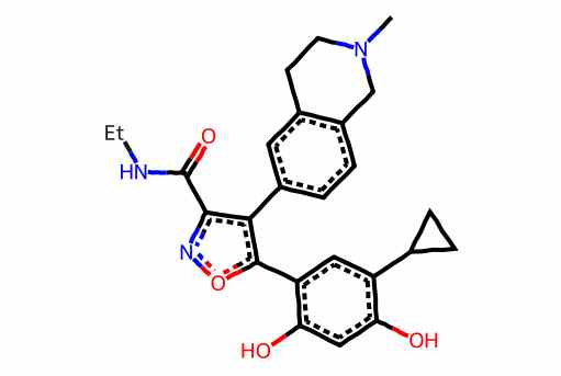 CCNC(=O)c1noc(-c2cc(C3CC3)c(O)cc2O)c1-c1ccc2c(c1)CCN(C)C2